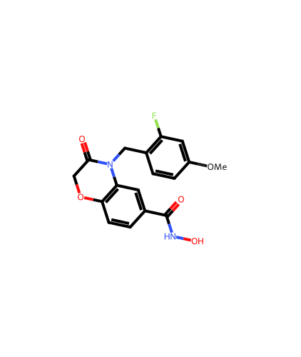 COc1ccc(CN2C(=O)COc3ccc(C(=O)NO)cc32)c(F)c1